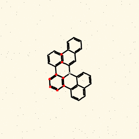 c1ccc(-c2ccccc2N(c2ccc3ccccc3c2)c2cccc3cccc(-c4ccccc4)c23)cc1